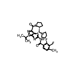 C=C(C)n1nc(C(=O)N2CCC[C@H]2CN2CCCC2)c2sc(NC(=O)c3ccc(C)c(F)c3F)nc21